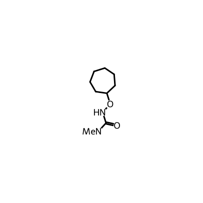 CNC(=O)NOC1CCCCCC1